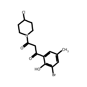 Cc1cc(Br)c(O)c(C(=O)CC(=O)N2CCC(Cl)CC2)c1